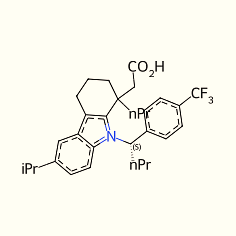 CCC[C@@H](c1ccc(C(F)(F)F)cc1)n1c2c(c3cc(C(C)C)ccc31)CCCC2(CCC)CC(=O)O